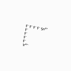 [F-].[F-].[F-].[F-].[F-].[F-].[F-].[F-].[Ir+4].[Sn+4]